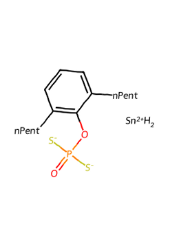 CCCCCc1cccc(CCCCC)c1OP(=O)([S-])[S-].[SnH2+2]